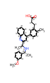 COc1cccc([C@@H](C)NC(C)c2cc(-c3ccc(C)c(CCC(=O)O)c3)c3ccccc3n2)c1